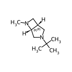 CN1C[C@@H]2CN(C(C)(C)C)C[C@@H]21